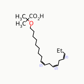 CC/C=C\C/C=C\C/C=C\CCCCCCCCOC(C)(C)C(=O)O